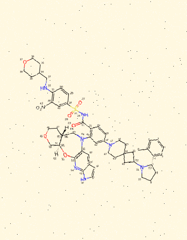 Cc1ccccc1[C@@H]1CCCN1C1CC2(CCN(c3ccc(C(=O)NS(=O)(=O)c4ccc(NCC5CCOCC5)c([N+](=O)[O-])c4)c(N4C[C@H]5CCOC[C@@H]5Oc5nc6[nH]ccc6cc54)c3)CC2)C1